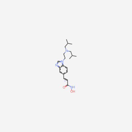 CC(C)CN(CCn1cnc2cc(/C=C/C(=O)NO)ccc21)CC(C)C